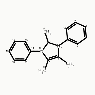 CC1=C(C)N(c2ccccc2)C(C)N1c1ccccc1